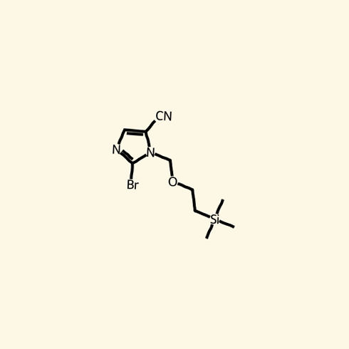 C[Si](C)(C)CCOCn1c(C#N)cnc1Br